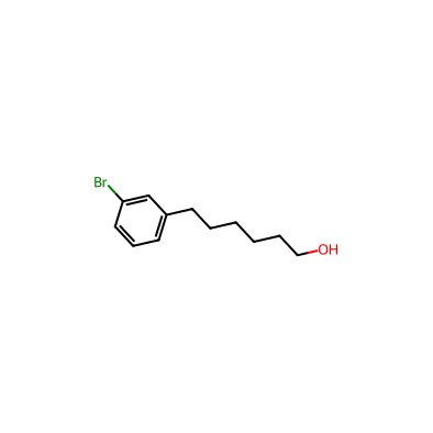 OCCCCCCc1cccc(Br)c1